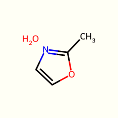 Cc1ncco1.O